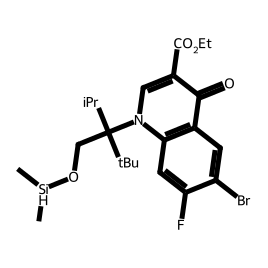 CCOC(=O)c1cn(C(CO[SiH](C)C)(C(C)C)C(C)(C)C)c2cc(F)c(Br)cc2c1=O